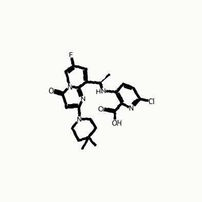 C[C@@H](Nc1ccc(Cl)nc1C(=O)O)c1cc(F)cn2c(=O)cc(N3CCC(C)(C)CC3)nc12